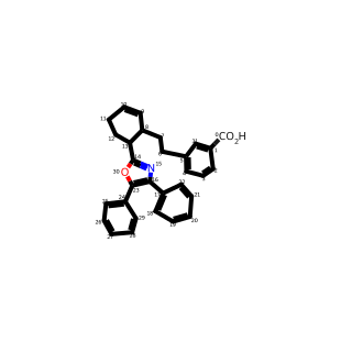 O=C(O)c1cccc(CCC2C=CCCC2c2nc(-c3ccccc3)c(-c3ccccc3)o2)c1